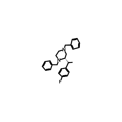 CC(c1ccc(F)cc1)[C@H]1CN(Cc2ccccc2)CCN1Cc1ccccc1